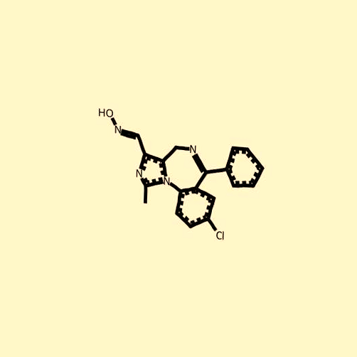 Cc1nc(C=NO)c2n1-c1ccc(Cl)cc1C(c1ccccc1)=NC2